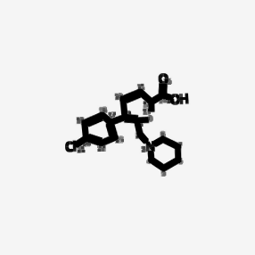 C/C(CN1CCCCC1)=C(\C=C/C(C)C(=O)O)c1ccc(Cl)cc1